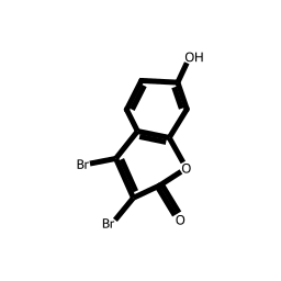 O=c1oc2cc(O)ccc2c(Br)c1Br